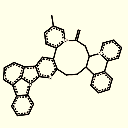 C=C1CC2C(CCc3nc4c(cc3-c3ccc(C)c[n+]31)c1cccc3c5ccccc5n4c31)c1ccccc1-c1cccc[n+]12